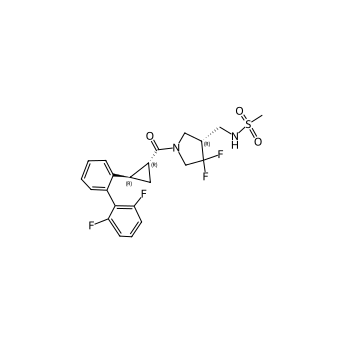 CS(=O)(=O)NC[C@H]1CN(C(=O)[C@@H]2C[C@H]2c2ccccc2-c2c(F)cccc2F)CC1(F)F